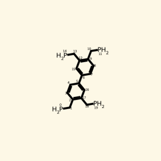 PCc1ccc(-c2ccc(CP)c(CP)c2)cc1CP